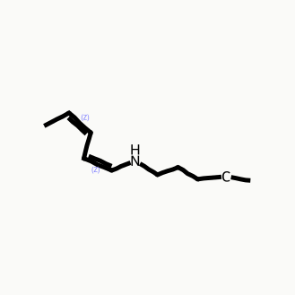 C/C=C\C=C/NCCCCC